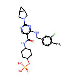 Cc1ccc(CNc2nc(N3CC4CC4C3)ncc2C(=O)NC2CCC(OP(=O)(O)O)CC2)cc1Cl